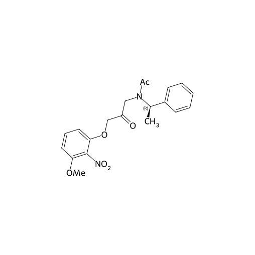 COc1cccc(OCC(=O)CN(C(C)=O)[C@H](C)c2ccccc2)c1[N+](=O)[O-]